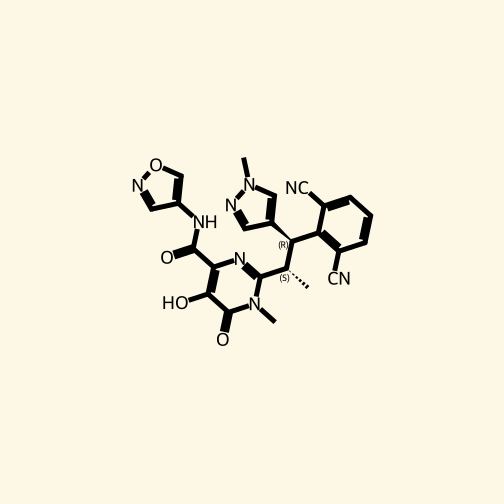 C[C@H](c1nc(C(=O)Nc2cnoc2)c(O)c(=O)n1C)[C@@H](c1cnn(C)c1)c1c(C#N)cccc1C#N